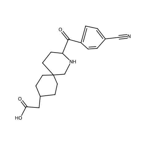 N#Cc1ccc(C(=O)C2CCC3(CCC(CC(=O)O)CC3)CN2)cc1